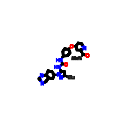 CNC(=O)c1cc(Oc2ccc(NC(=O)Nc3cc(C(C)(C)C)nn3-c3ccc4ncncc4c3)cc2)ccn1